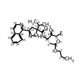 CCCOC(=O)C[C@H](NC(=O)C1(C(C)C)CC(c2nccc3ccccc23)=NO1)C(=O)CF